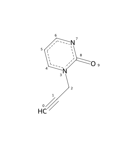 C#CCn1cccnc1=O